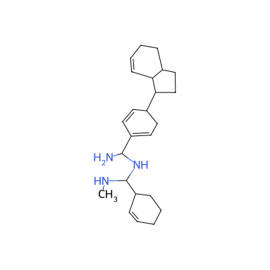 CNC(NC(N)C1=CCC(C2CCC3CCC=CC32)C=C1)C1C=CCCC1